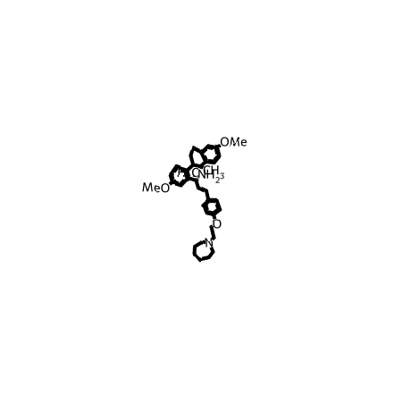 COc1ccc2c(c1)CCC(c1ccc(OC)cc1C(N)CCc1ccc(OCCN3CCCCCC3)cc1)C2(C)C